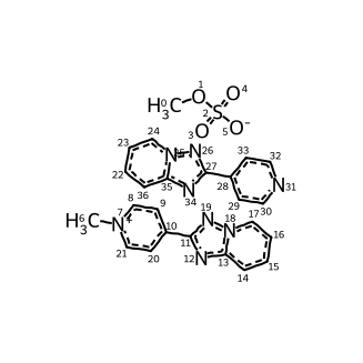 COS(=O)(=O)[O-].C[n+]1ccc(-c2nc3ccccn3n2)cc1.c1ccn2nc(-c3ccncc3)nc2c1